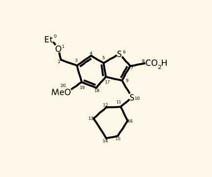 CCOCc1cc2sc(C(=O)O)c(SC3CCCCC3)c2cc1OC